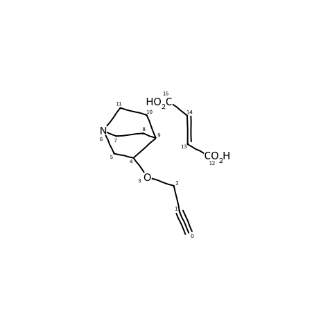 C#CCOC1CN2CCC1CC2.O=C(O)C=CC(=O)O